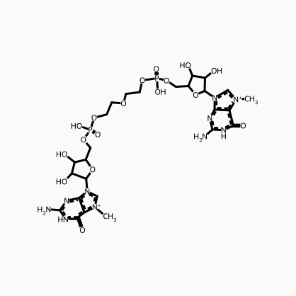 C[n+]1cn(C2OC(COP(=O)(O)OCCOCCOP(=O)(O)OCC3OC(n4c[n+](C)c5c(=O)[nH]c(N)nc54)C(O)C3O)C(O)C2O)c2nc(N)[nH]c(=O)c21